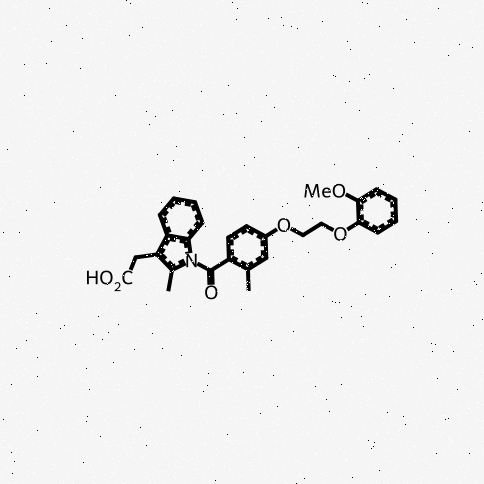 COc1ccccc1OCCOc1ccc(C(=O)n2c(C)c(CC(=O)O)c3ccccc32)c(C)c1